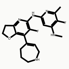 CNc1cc(Nc2nc3c(c(C4=CCNCCC4)c2F)OCC3)nc(C)c1F